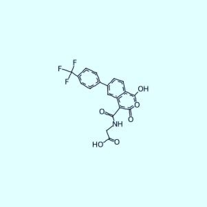 O=C(O)CNC(=O)c1c(=O)oc(O)c2ccc(-c3ccc(C(F)(F)F)cc3)cc12